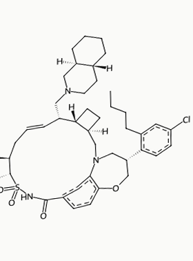 CCCCc1cc(Cl)ccc1[C@@H]1COc2ccc3cc2N(C1)C[C@@H]1CC[C@H]1[C@@H](CN1CC[C@H]2CCCC[C@@H]2C1)/C=C/C[C@H](C)[C@@H](C)S(=O)(=O)NC3=O